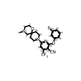 CN1CCOC2(CCN(c3cc(C(F)(F)F)c(C#N)c(Oc4cccc(F)c4)n3)CC2)C1